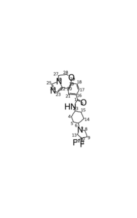 O=C(NC1CCC(N2CCC(F)(F)C2)CC1)c1ccc2c(c1)-c1cncn1CCO2